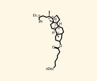 CCCCCCCCCCCCCCCC(=O)OC1CC[C@@]2(C)C(CC[C@H]3[C@@H]4CC[C@H]([C@H](C)CC[C@@H](CC)C(C)C)[C@@]4(C)CC[C@@H]32)C1